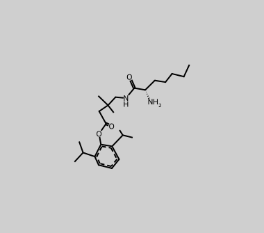 CCCCC[C@H](N)C(=O)NCC(C)(C)CC(=O)Oc1c(C(C)C)cccc1C(C)C